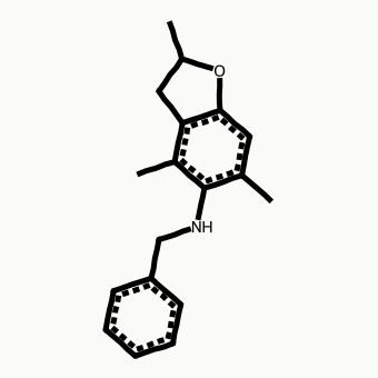 Cc1cc2c(c(C)c1NCc1ccccc1)CC(C)O2